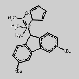 C[Si](C)=[Hf]([CH3])([CH3])([CH]1C=CC=C1)[CH]1c2ccc(C(C)(C)C)cc2-c2cc(C(C)(C)C)ccc21